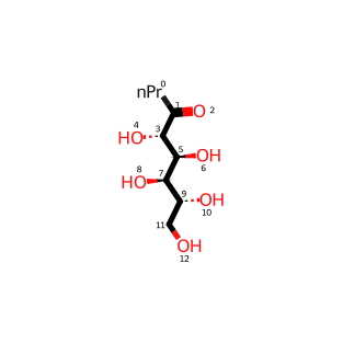 CCCC(=O)[C@@H](O)[C@@H](O)[C@H](O)[C@H](O)CO